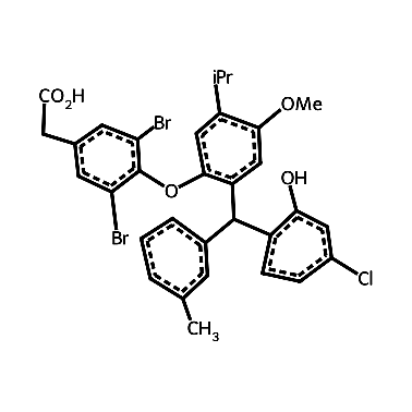 COc1cc(C(c2cccc(C)c2)c2ccc(Cl)cc2O)c(Oc2c(Br)cc(CC(=O)O)cc2Br)cc1C(C)C